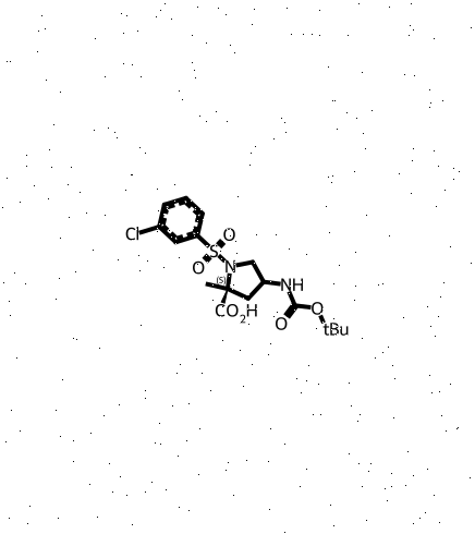 CC(C)(C)OC(=O)NC1CN(S(=O)(=O)c2cccc(Cl)c2)[C@](C)(C(=O)O)C1